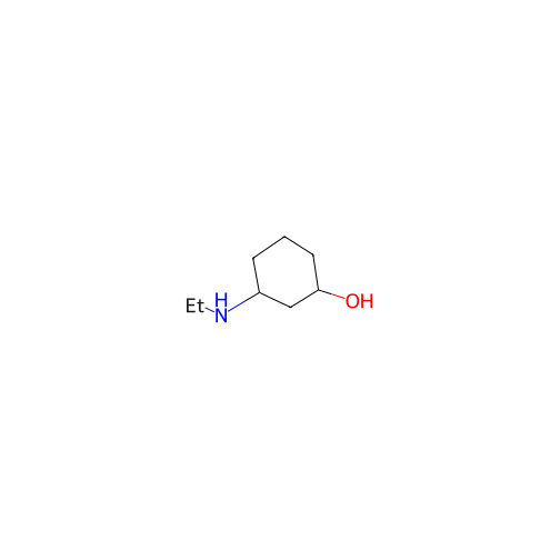 CCNC1CCCC(O)C1